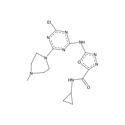 CCc1nc(Nc2nnc(C(=O)NC3CC3)o2)nc(N2CCN(C)CC2)n1